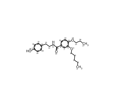 CCCCCOc1cc(C(=O)NCCc2ccc(O)cc2)ccc1OCCC